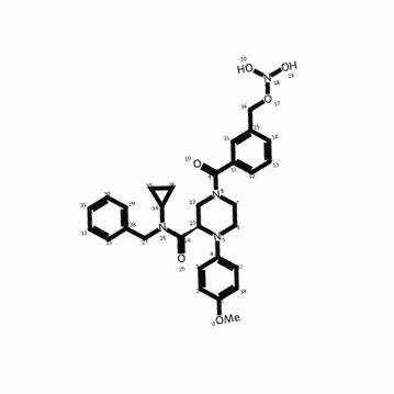 COc1ccc(N2CCN(C(=O)c3cccc(CON(O)O)c3)C[C@@H]2C(=O)N(Cc2ccccc2)C2CC2)cc1